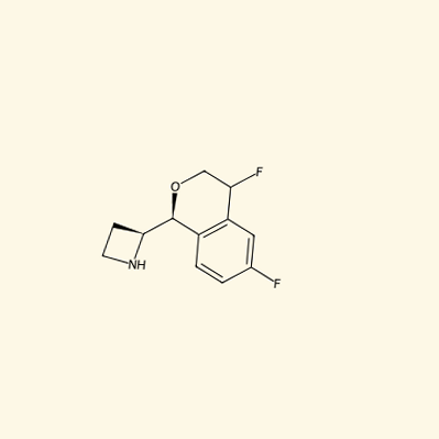 Fc1ccc2c(c1)C(F)CO[C@@H]2[C@@H]1CCN1